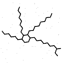 CCCCCCCCCC1C(CCCCCCCC(C)CC)CCC(CCCCCC)C1CCCCCCCC